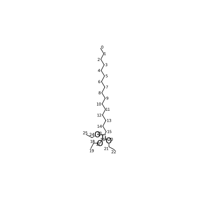 CCCCCCCCCCCCCCC[CH2][Ti]([O]CC)([O]CC)[O]CC